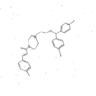 Cc1ccc(/C=C/C(=O)N2CCN(CCOC(c3ccc(F)cc3)c3ccc(F)cc3)CC2)cc1